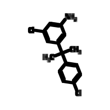 CC(C)(c1ccc(Cl)cc1)c1cc(N)cc(Cl)c1